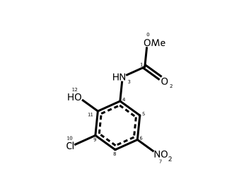 COC(=O)Nc1cc([N+](=O)[O-])cc(Cl)c1O